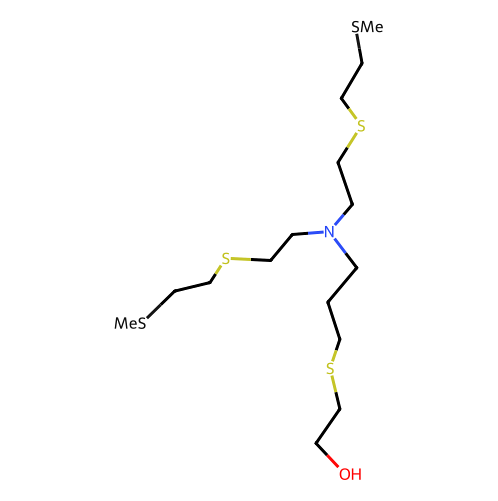 CSCCSCCN(CCCSCCO)CCSCCSC